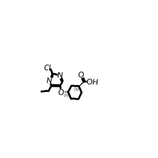 CCc1nc(Cl)ncc1O[C@H]1CCC[C@H](C(=O)O)C1